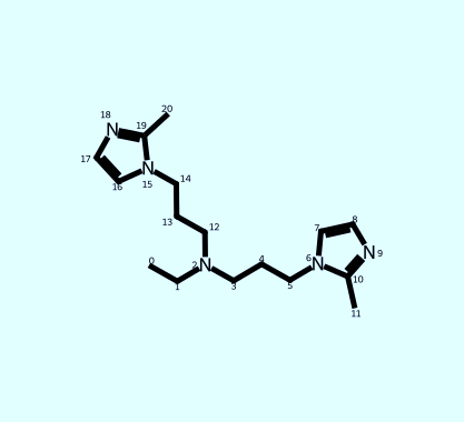 CCN(CCCn1ccnc1C)CCCn1ccnc1C